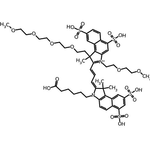 COCCOCCOCCOCCC1(C)C(/C=C/C=C2/N(CCCCCC(=O)O)c3ccc4c(S(=O)(=O)O)cc(S(=O)(=O)O)cc4c3C2(C)C)=[N+](CCOCCOC)c2cc(S(=O)(=O)O)c3ccc(S(=O)(=O)O)cc3c21